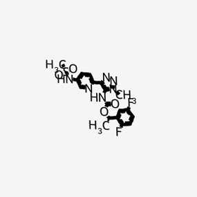 C[C@@H](OC(=O)Nc1c(-c2ccc(NS(C)(=O)=O)cn2)nnn1C)c1cc(F)ccc1F